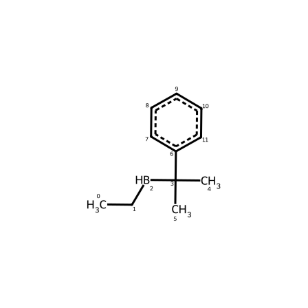 CCBC(C)(C)c1ccccc1